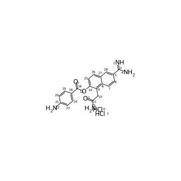 Cl.Cl.N=C(N)c1ccc2c(CC(N)=O)c(OC(=O)c3ccc(N)cc3)ccc2c1